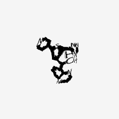 OC(c1cc(-c2ccncc2)sc1-c1nnc[nH]1)c1cccc2nccnc12